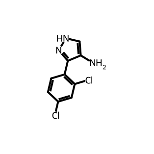 Nc1c[nH]nc1-c1ccc(Cl)cc1Cl